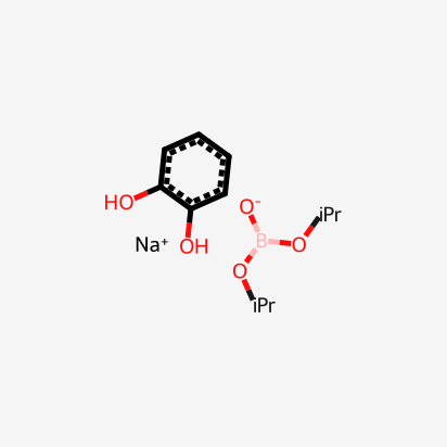 CC(C)OB([O-])OC(C)C.Oc1ccccc1O.[Na+]